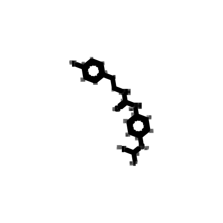 O=C(NCCc1ccc(F)cc1)Nc1ccc(OC(F)F)cc1